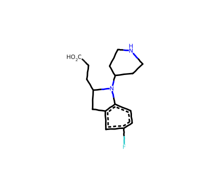 O=C(O)CCC1Cc2cc(F)ccc2N1C1CCNCC1